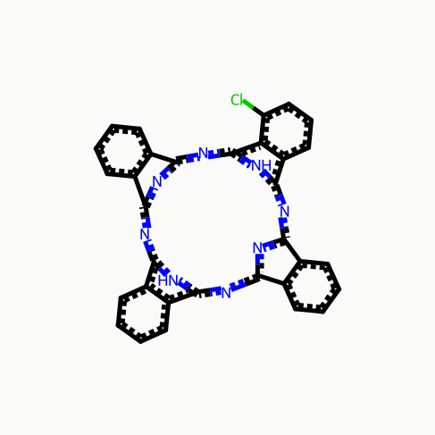 Clc1cccc2c3nc4nc(nc5[nH]c(nc6nc(nc([nH]3)c12)-c1ccccc1-6)c1ccccc51)-c1ccccc1-4